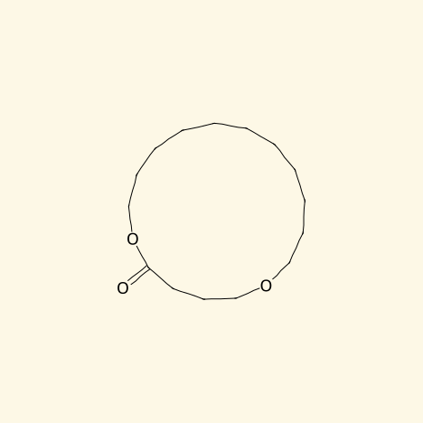 O=C1CCCOCCCCCCCCCCCO1